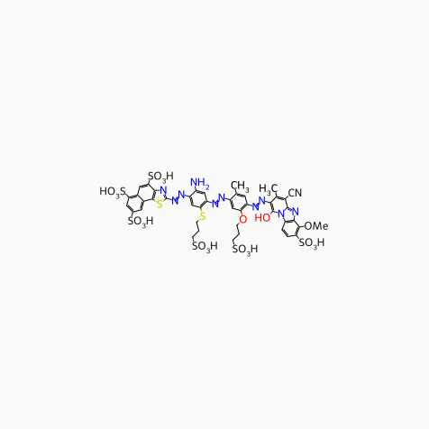 COc1c(S(=O)(=O)O)ccc2c1nc1c(C#N)c(C)c(N=Nc3cc(C)c(N=Nc4cc(N)c(N=Nc5nc6c(S(=O)(=O)O)cc7c(S(=O)(=O)O)cc(S(=O)(=O)O)cc7c6s5)cc4SCCCS(=O)(=O)O)cc3OCCCS(=O)(=O)O)c(O)n12